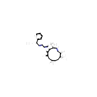 C/C(=C\C=C\[C@H](C)c1ccccn1)[C@H]1C(=O)C(=O)C[C@@H](O)CC[C@](C)(O)[C@@H](O)/C=C/[C@@H]1C